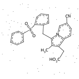 Cc1c(CC(=O)O)c2ccc(C#N)cn2c1Cc1ccccc1S(=O)(=O)c1ccccc1